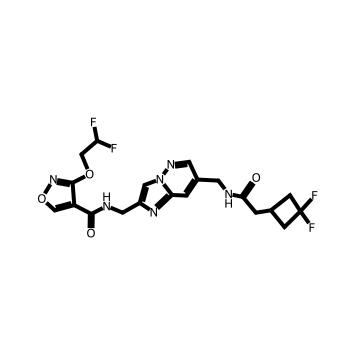 O=C(CC1CC(F)(F)C1)NCc1cnn2cc(CNC(=O)c3conc3OCC(F)F)nc2c1